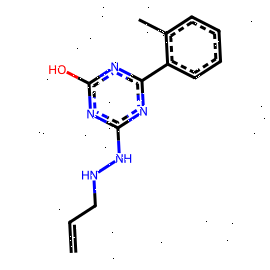 C=CCNNc1nc(O)nc(-c2ccccc2C)n1